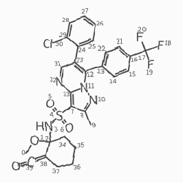 COC1(NS(=O)(=O)c2c(C)nn3c(-c4ccc(C(F)(F)F)cc4)c(-c4ccccc4Cl)cnc23)CCCCC1=C=O